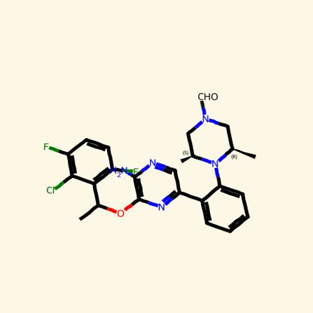 CC(Oc1nc(-c2ccccc2N2[C@H](C)CN(C=O)C[C@@H]2C)cnc1N)c1c(F)ccc(F)c1Cl